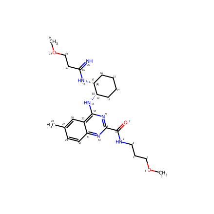 COCCCNC(=O)c1nc(N[C@H]2CCCC[C@H]2NC(=N)CCOC)c2cc(C)ccc2n1